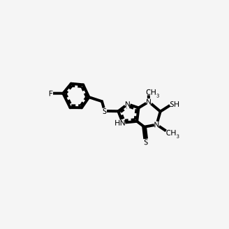 CN1C(=S)c2[nH]c(SCc3ccc(F)cc3)nc2N(C)C1S